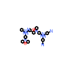 N#Cc1ccc(-c2nc(-c3ccc(C#N)cc3)nc(-c3ccc(N4c5ccccc5Oc5c(-c6ccnc(-c7nc(-c8ccccc8)nc(-c8ccc(N9c%10ccccc%10Oc%10ccccc%109)cc8)n7)c6)cccc54)cc3)n2)cc1